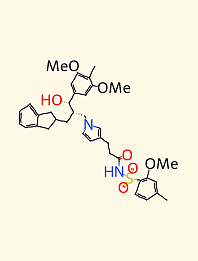 COc1cc(C)ccc1S(=O)(=O)NC(=O)CCc1ccn(C[C@H](CC2Cc3ccccc3C2)[C@H](O)c2cc(OC)c(C)c(OC)c2)c1